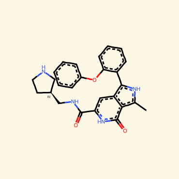 Cc1[nH]c(-c2ccccc2Oc2ccccc2)c2cc(C(=O)NC[C@H]3CCNC3)[nH]c(=O)c12